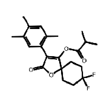 Cc1cc(C)c(C2=C(OC(=O)C(C)C)C3(CCC(F)(F)CC3)OC2=O)cc1C